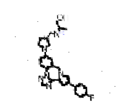 C/C(CO)=N/C[C@@H]1CCN(c2ccc3c(c2)Cn2cc(-c4ccc(F)cc4)cc2-c2ncnn2-3)C1